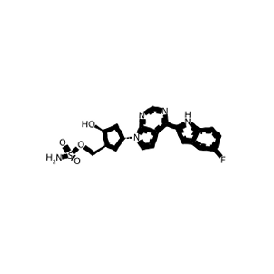 NS(=O)(=O)OC[C@@H]1C[C@@H](n2ccc3c(-c4cc5cc(F)ccc5[nH]4)ncnc32)C[C@@H]1O